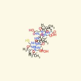 CC(C)C[C@H](NC(=O)[C@H](CC(C)C)NC(=O)[C@@H](NC(=O)[C@H](CC(=O)O)NC(=O)[C@H](CC(C)C)NC(=O)CNC(=O)[C@H](CC(=O)O)NC(=O)[C@H](CC(C)C)NC(=O)[C@@H](NC(=O)[C@@H](N)CS)C(C)C)C(C)C)C(=O)O